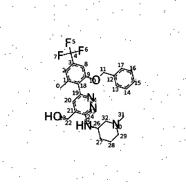 Cc1cc(C(F)(F)F)cc(OCc2ccccc2)c1-c1cc(CO)c(N[C@@H]2CCCN(C)C2)nn1